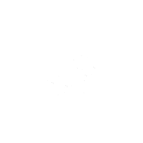 CCN1CCCN(c2cccc(-n3cnc4cc(C(=O)O)ccc43)c2)CC1